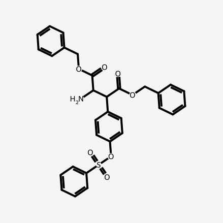 NC(C(=O)OCc1ccccc1)C(C(=O)OCc1ccccc1)c1ccc(OS(=O)(=O)c2ccccc2)cc1